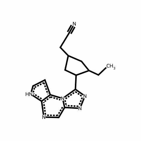 CCC1CC(CC#N)CC1c1nnc2cnc3[nH]ccc3n12